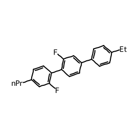 CCCc1ccc(-c2ccc(-c3ccc(CC)cc3)cc2F)c(F)c1